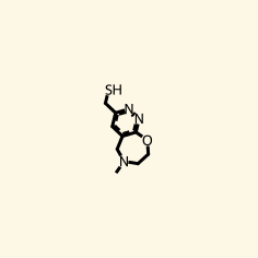 CN1CCOc2nnc(CS)cc2C1